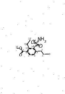 CCCc1ccc(C(=O)OC)c(CC)c1S(N)(=O)=O